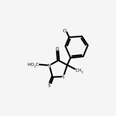 CC1(c2cccc(Cl)c2)SC(=S)N(C(=O)O)C1=O